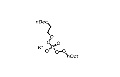 CCCCCCCCCCCCOOP(=O)([O-])OOCCCCCCCC.[K+]